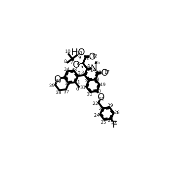 Cc1c(-c2c([C@H](OC(C)(C)C)C(=O)O)n(C)c(=O)c3cc(OCc4ccc(F)cc4)ccc23)ccc2c1CCCO2